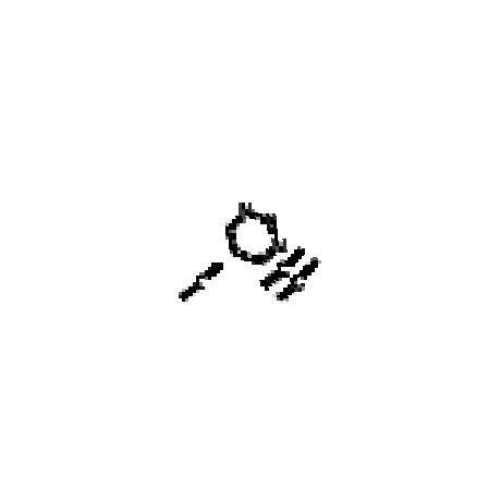 C=C=C.C=C=C.C=C=C.c1cnnnc1